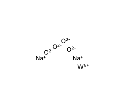 [Na+].[Na+].[O-2].[O-2].[O-2].[O-2].[W+6]